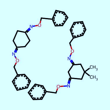 CC1(C)CC(=NOCc2ccccc2)CC(=NOCc2ccccc2)C1.c1ccc(CON=C2CCC(=NOCc3ccccc3)CC2)cc1